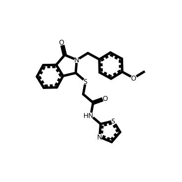 COc1ccc(CN2C(=O)c3ccccc3C2SCC(=O)Nc2nccs2)cc1